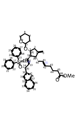 C=C1C[C@@H](OC2CCCCO2)[C@H](/C=C/[C@@H](O[Si](c2ccccc2)(c2ccccc2)C(C)(C)C)c2cc3ccccc3s2)[C@H]1C/C=C/CCCC(=O)OC